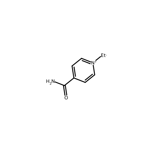 C[CH][n+]1ccc(C(N)=O)cc1